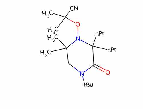 CCCC1(CCC)C(=O)N(C(C)(C)C)CC(C)(C)N1OC(C)(C)C#N